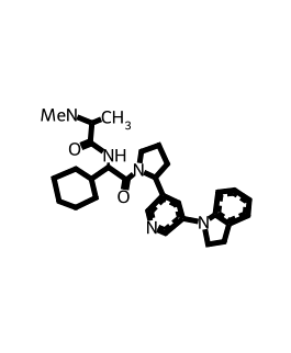 CNC(C)C(=O)N[C@H](C(=O)N1CCCC1c1cncc(N2CCc3ccccc32)c1)C1CCCCC1